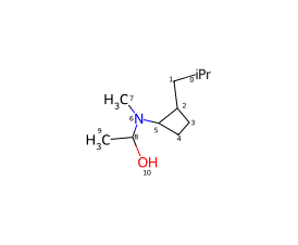 CC(C)CC1CCC1N(C)C(C)O